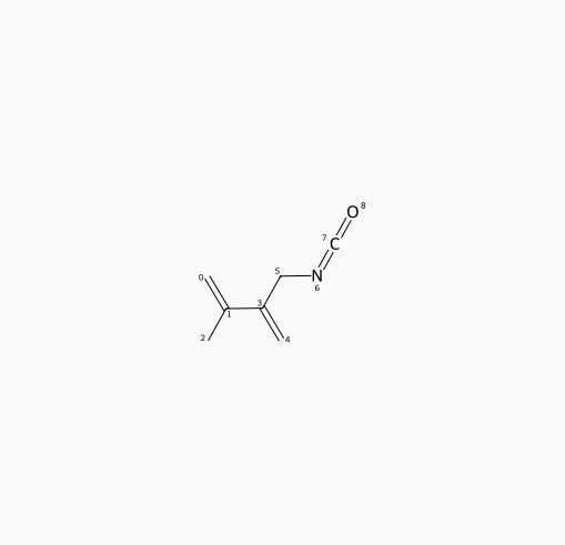 C=C(C)C(=C)CN=C=O